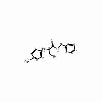 Cc1ccc(N[C@H](CS)C(=O)OCc2ccccc2)cc1